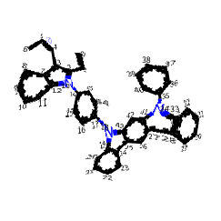 C=Cc1c(/C=C\C)c2ccccc2n1-c1ccc(-n2c3ccccc3c3cc4c5ccccc5n(-c5ccccc5)c4cc32)cc1